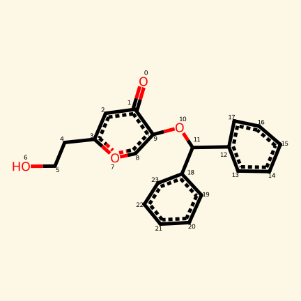 O=c1cc(CCO)occ1OC(c1ccccc1)c1ccccc1